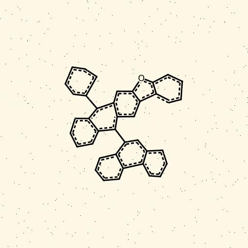 c1ccc(-c2c3ccccc3c(-c3cc4ccccc4c4ccccc34)c3cc4c(cc23)oc2ccccc24)cc1